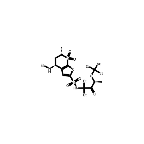 CCN[C@H]1C[C@H](C)S(=O)(=O)c2sc(S(=O)(=O)NC(CC)(CC)C(=O)[C@H](C)OC(CC)(CC)C(C)=O)cc21